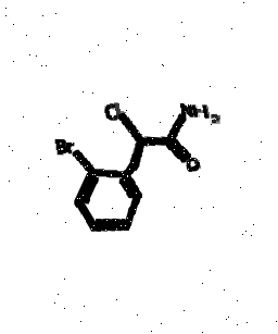 NC(=O)C(Cl)c1ccccc1Br